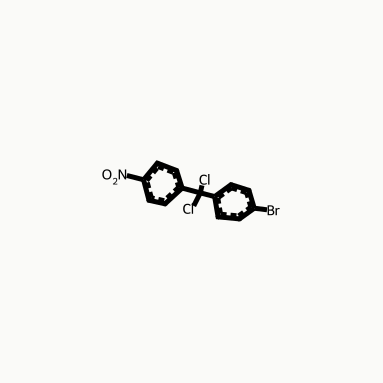 O=[N+]([O-])c1ccc(C(Cl)(Cl)c2ccc(Br)cc2)cc1